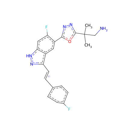 CC(C)(CN)c1nnc(-c2cc3c(/C=C/c4ccc(F)cc4)n[nH]c3cc2F)o1